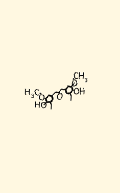 CCOc1cc(CC(=O)Cc2cc(I)c(O)c(OCC)c2)cc(I)c1O